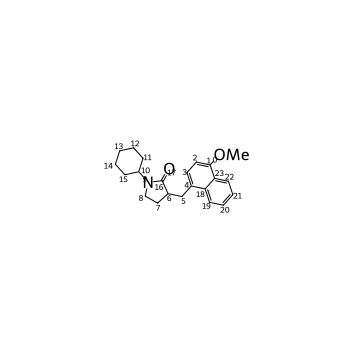 COc1ccc(CC2CCN(C3CCCCC3)C2=O)c2ccccc12